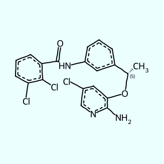 C[C@H](Oc1cc(Cl)cnc1N)c1cccc(NC(=O)c2cccc(Cl)c2Cl)c1